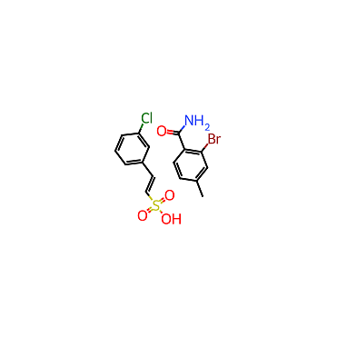 Cc1ccc(C(N)=O)c(Br)c1.O=S(=O)(O)/C=C/c1cccc(Cl)c1